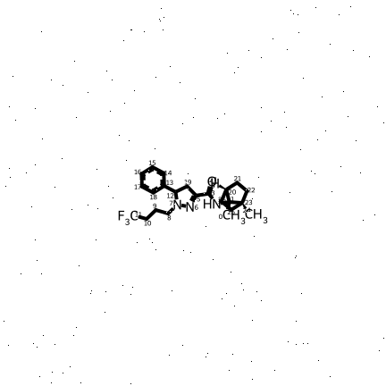 CC1(NC(=O)C2=NN(CCCC(F)(F)F)C(c3ccccc3)C2)[C@H]2CC[C@]1(C)CC2